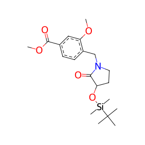 COC(=O)c1ccc(CN2CCC(O[Si](C)(C)C(C)(C)C)C2=O)c(OC)c1